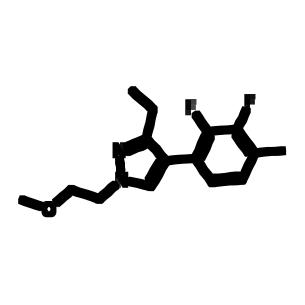 CCc1nn(CCOC)cc1-c1ccc(C)c(F)c1F